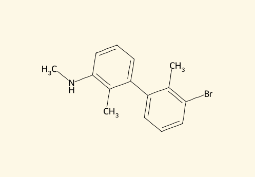 CNc1cccc(-c2cccc(Br)c2C)c1C